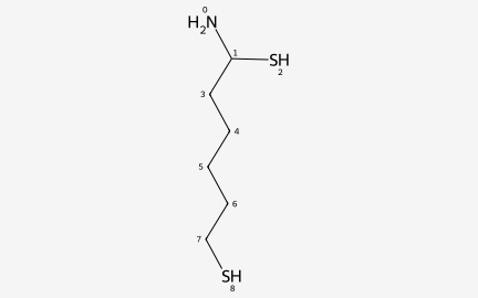 NC(S)CCCCCS